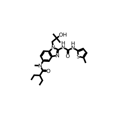 CCC(CC)C(=O)N(C)c1ccc2c(c1)nc(NC(=O)Nc1ccc(C)s1)n2CC(C)(C)O